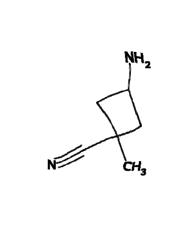 CC1(C#N)CC(N)C1